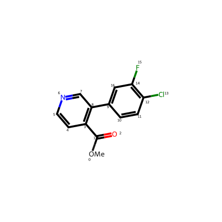 COC(=O)c1ccncc1-c1ccc(Cl)c(F)c1